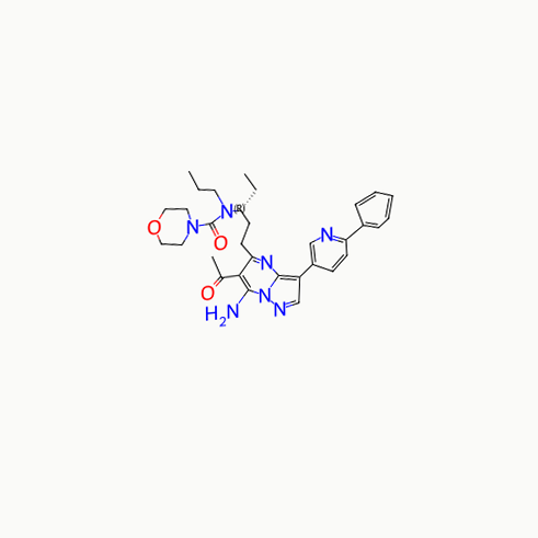 CCCN(C(=O)N1CCOCC1)[C@H](CC)CCc1nc2c(-c3ccc(-c4ccccc4)nc3)cnn2c(N)c1C(C)=O